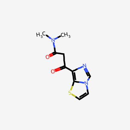 CN(C)C(=O)CC(=O)c1ncn2ccsc12